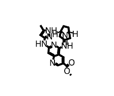 COC(=O)c1cnc2cc(Nc3cc(C)[nH]n3)nc(NC3C[C@H]4CC[C@@H](C3)N4)c2c1